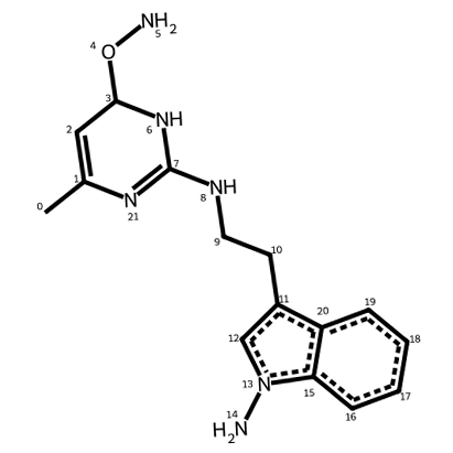 CC1=CC(ON)NC(NCCc2cn(N)c3ccccc23)=N1